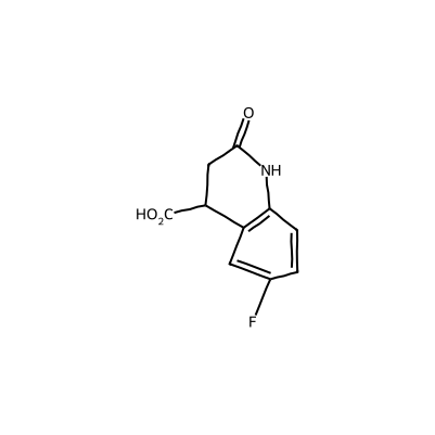 O=C1CC(C(=O)O)c2cc(F)ccc2N1